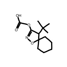 CC(C)(C)C1C(OC(=O)O)=NOC12CCCCC2